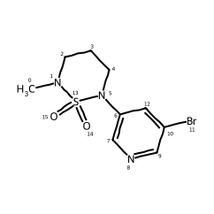 CN1CCCN(c2cncc(Br)c2)S1(=O)=O